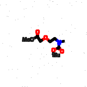 COC(=O)COCCN(C)C(=O)OC(C)(C)C